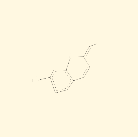 CC=C1C=Cc2ccc(O)cc2O1